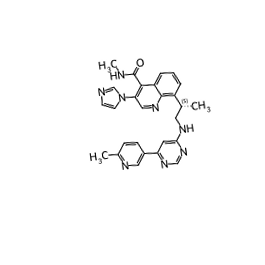 CNC(=O)c1c(-n2ccnc2)cnc2c([C@H](C)CNc3cc(-c4ccc(C)nc4)ncn3)cccc12